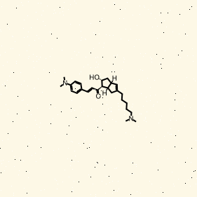 CN(C)CCCCCC1=C[C@H]2C[C@@H](O)[C@H](C(=O)/C=C/c3ccc(N(C)C)cc3)[C@H]2C1